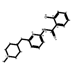 CN1CCC(Cc2cccc(NC(=O)c3ccccc3Cl)n2)CC1